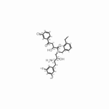 CCc1cccc(CN(C[C@@H](O)[C@@H](N)Cc2cc(F)cc(F)c2)C(=O)C(O)CC(=O)c2cccc(Cl)c2)c1